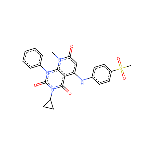 Cn1c(=O)cc(Nc2ccc(S(C)(=O)=O)cc2)c2c(=O)n(C3CC3)c(=O)n(-c3ccccc3)c21